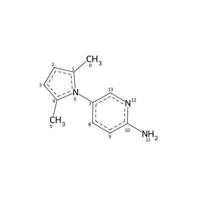 Cc1ccc(C)n1-c1ccc(N)nc1